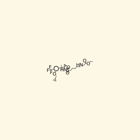 CCOC(=O)CNCCCCCS(=O)(=O)NC1(C(C)(C)c2ccc(C(F)(F)F)c(OCC3CC3)c2)C=C1